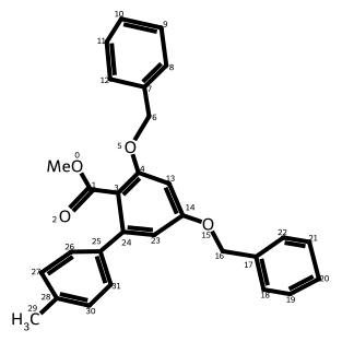 COC(=O)c1c(OCc2ccccc2)cc(OCc2ccccc2)cc1-c1ccc(C)cc1